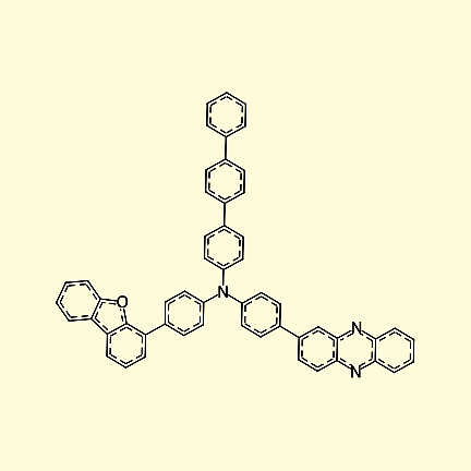 c1ccc(-c2ccc(-c3ccc(N(c4ccc(-c5ccc6nc7ccccc7nc6c5)cc4)c4ccc(-c5cccc6c5oc5ccccc56)cc4)cc3)cc2)cc1